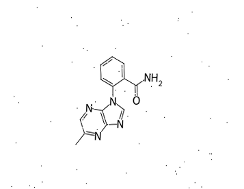 Cc1cnc2c(ncn2-c2ccccc2C(N)=O)n1